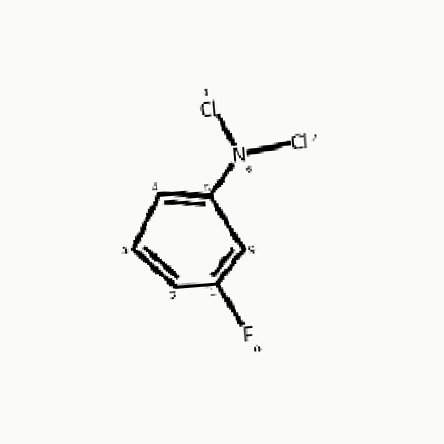 Fc1cccc(N(Cl)Cl)c1